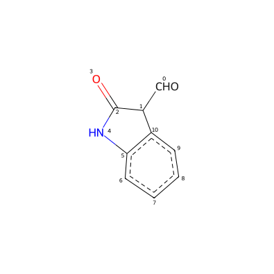 O=CC1C(=O)Nc2ccccc21